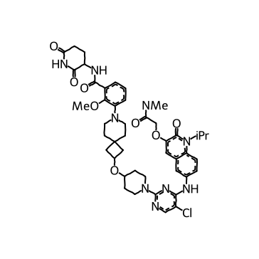 CNC(=O)COc1cc2cc(Nc3nc(N4CCC(OC5CC6(CCN(c7cccc(C(=O)NC8CCC(=O)NC8=O)c7OC)CC6)C5)CC4)ncc3Cl)ccc2n(C(C)C)c1=O